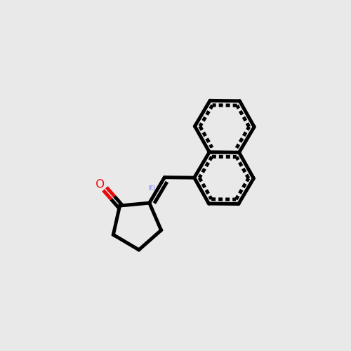 O=C1CCC/C1=C\c1cccc2ccccc12